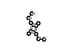 c1cncc(-c2cccc(-c3ccc(/C4=N/c5cc6ccccc6nc5/C(c5ccc(-c6cccc(-c7cccnc7)n6)cc5)=N\c5cc6ccccc6nc54)cc3)n2)c1